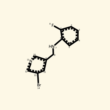 Fc1ccccc1NCc1cncc(Br)c1